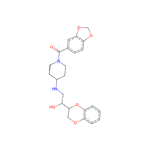 O=C(c1ccc2c(c1)OCO2)N1CCC(NCC(O)C2COc3ccccc3O2)CC1